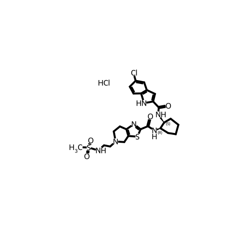 CS(=O)(=O)NCCN1CCc2nc(C(=O)N[C@@H]3CCCC[C@@H]3NC(=O)c3cc4cc(Cl)ccc4[nH]3)sc2C1.Cl